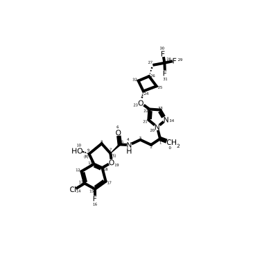 C=C(CCNC(=O)[C@@H]1C[C@@H](O)c2cc(Cl)c(F)cc2O1)n1cc(O[C@H]2C[C@@H](CC(F)(F)F)C2)cn1